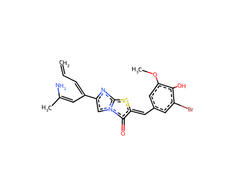 C=C/C=C(\C=C(\C)N)c1cn2c(=O)/c(=C/c3cc(Br)c(O)c(OC)c3)sc2n1